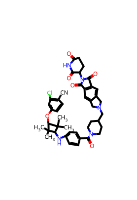 CC1(C)C(Nc2ccc(C(=O)N3CCC(CN4Cc5cc6c(cc5C4)C(=O)N(C4CCC(=O)NC4=O)C6=O)CC3)cc2)C(C)(C)C1Oc1ccc(C#N)c(Cl)c1